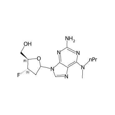 CCCN(C)c1nc(N)nc2c1ncn2C1C[C@H](F)[C@@H](CO)O1